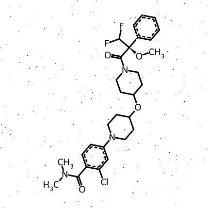 CO[C@](C(=O)N1CCC(OC2CCN(c3ccc(C(=O)N(C)C)c(Cl)c3)CC2)CC1)(c1ccccc1)C(F)F